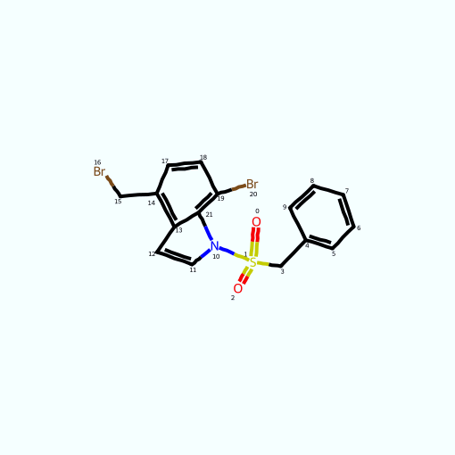 O=S(=O)(Cc1ccccc1)n1ccc2c(CBr)ccc(Br)c21